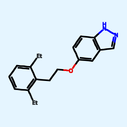 CCc1cccc(CC)c1CCOc1ccc2[nH]ncc2c1